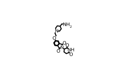 NCC1CCN(CCOc2ccc3c(c2)C(=O)N(C2CCC(=O)NC2=O)C3=O)CC1